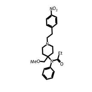 CCC(=O)N(c1ccccc1)C1(COC)CCN(CCc2ccc([N+](=O)[O-])cc2)CC1